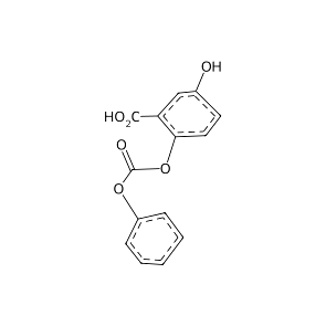 O=C(Oc1ccccc1)Oc1ccc(O)cc1C(=O)O